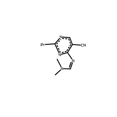 CC(C)c1ncc(C#N)c(/N=C\N(C)C)n1